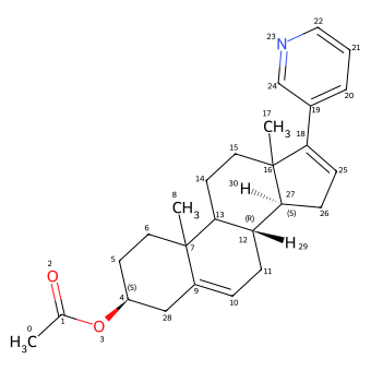 CC(=O)O[C@H]1CCC2(C)C(=CC[C@@H]3C2CCC2(C)C(c4cccnc4)=CC[C@@H]32)C1